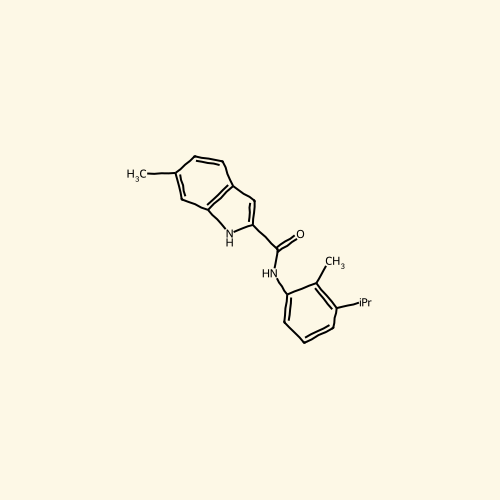 Cc1ccc2cc(C(=O)Nc3cccc(C(C)C)c3C)[nH]c2c1